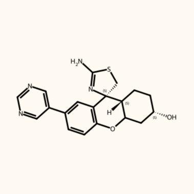 NC1=N[C@]2(CS1)c1cc(-c3cncnc3)ccc1OC1C[C@@H](O)CC[C@H]12